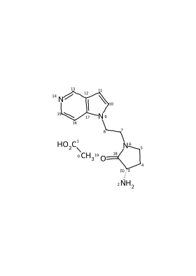 CC(=O)O.N[C@H]1CCN(CCn2ccc3cnccc32)C1=O